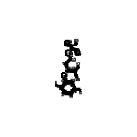 Cc1ccc(C)c(OC(CCOS(C)(=O)=O)C(C)C)c1